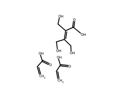 C=CC(=O)O.C=CC(=O)O.O=C(O)C(CO)=C(CO)CO